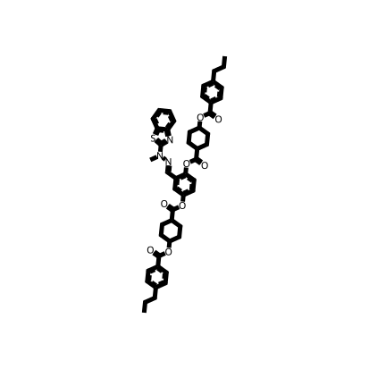 CCCc1ccc(C(=O)OC2CCC(C(=O)Oc3ccc(OC(=O)C4CCC(OC(=O)c5ccc(CCC)cc5)CC4)c(/C=N/N(C)c4nc5ccccc5s4)c3)CC2)cc1